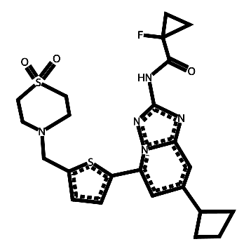 O=C(Nc1nc2cc(C3CCC3)cc(-c3ccc(CN4CCS(=O)(=O)CC4)s3)n2n1)C1(F)CC1